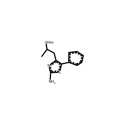 CCCCCCC(C)Cc1nc(N)sc1-c1ccccc1